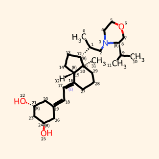 CC(CN1CCOC[C@H]1C(C)C)[C@H]1CC[C@H]2/C(=C/C=C3C[C@@H](O)C[C@H](O)C3)CCC[C@]12C